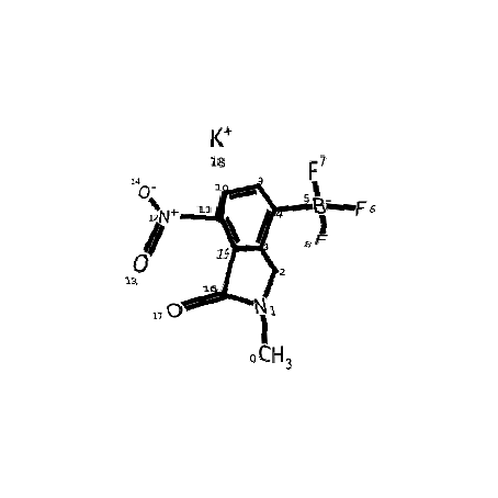 CN1Cc2c([B-](F)(F)F)ccc([N+](=O)[O-])c2C1=O.[K+]